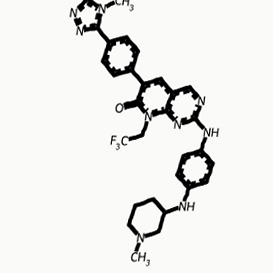 CN1CCCC(Nc2ccc(Nc3ncc4cc(-c5ccc(-c6nncn6C)cc5)c(=O)n(CC(F)(F)F)c4n3)cc2)C1